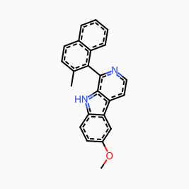 COc1ccc2[nH]c3c(-c4c(C)ccc5ccccc45)nccc3c2c1